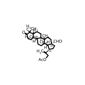 C=C(COC(C)=O)[C@@H]1CC[C@]2([C]=O)CC[C@]3(C)[C@H](CC[C@@H]4[C@@]5(C)CCC(=O)C(C)(C)[C@@H]5CC[C@]43C)[C@@H]12